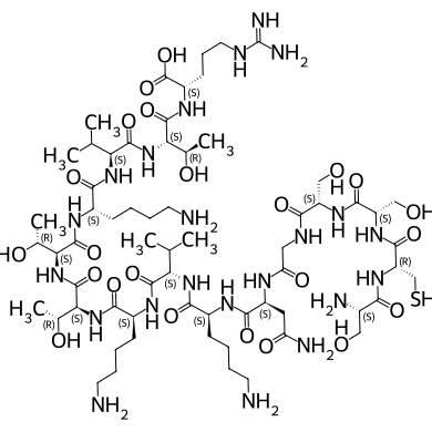 CC(C)[C@H](NC(=O)[C@H](CCCCN)NC(=O)[C@H](CC(N)=O)NC(=O)CNC(=O)[C@H](CO)NC(=O)[C@H](CO)NC(=O)[C@H](CS)NC(=O)[C@@H](N)CO)C(=O)N[C@@H](CCCCN)C(=O)N[C@H](C(=O)N[C@H](C(=O)N[C@@H](CCCCN)C(=O)N[C@H](C(=O)N[C@H](C(=O)N[C@@H](CCCNC(=N)N)C(=O)O)[C@@H](C)O)C(C)C)[C@@H](C)O)[C@@H](C)O